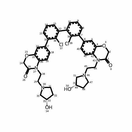 O=C1COc2cc(-c3cccc(-c4cccc(-c5ccc6c(c5)OCC(=O)N6CCN5CC[C@H](O)C5)c4Cl)c3Cl)ccc2N1CCN1CC[C@H](O)C1